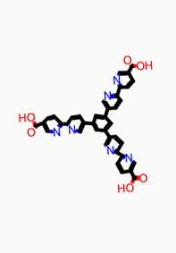 O=C(O)c1ccc(-c2ccc(-c3cc(-c4ccc(-c5ccc(C(=O)O)cn5)nc4)cc(-c4ccc(-c5ccc(C(=O)O)cn5)nc4)c3)cn2)nc1